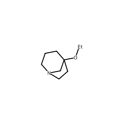 CCOC12CCCN(CC1)C2